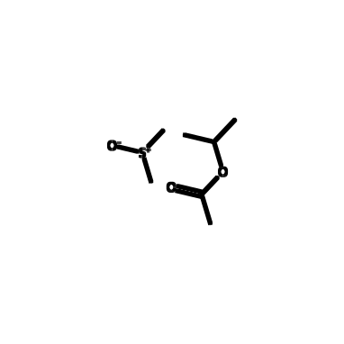 CC(=O)OC(C)C.C[S+](C)[O-]